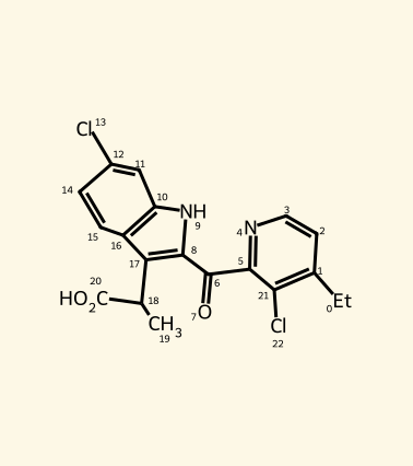 CCc1ccnc(C(=O)c2[nH]c3cc(Cl)ccc3c2C(C)C(=O)O)c1Cl